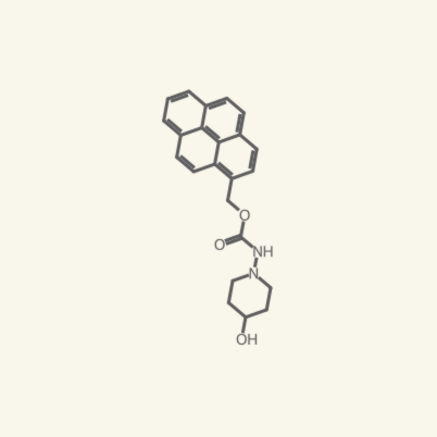 O=C(NN1CCC(O)CC1)OCc1ccc2ccc3cccc4ccc1c2c34